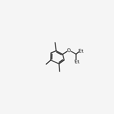 CCC(CC)Oc1cc(C)c(C)cc1C